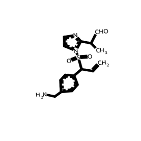 C=CC(c1ccc(CN)cc1)S(=O)(=O)n1ccnc1C(C)C=O